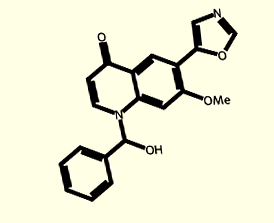 COc1cc2c(cc1-c1cnco1)c(=O)ccn2C(O)c1ccccc1